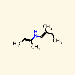 C/C=C(\C)N/C=C(\C)CC